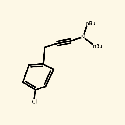 CCCCN(C#CCc1ccc(Cl)cc1)CCCC